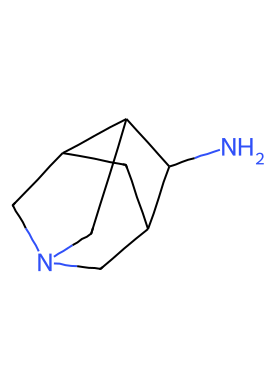 NC1C2CC3CN(C2)CC31